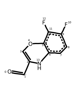 O=[C]C1=COc2c(ccc(F)c2F)N1